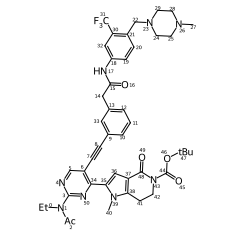 CCN(C(C)=O)c1ncc(C#Cc2cccc(CC(=O)Nc3ccc(CN4CCN(C)CC4)c(C(F)(F)F)c3)c2)c(-c2cc3c(n2C)CCN(C(=O)OC(C)(C)C)C3=O)n1